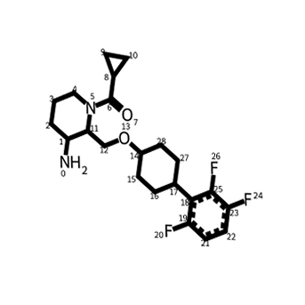 NC1CCCN(C(=O)C2CC2)C1COC1CCC(c2c(F)ccc(F)c2F)CC1